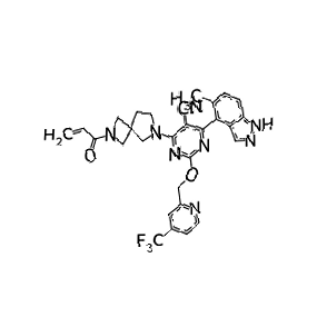 C=CC(=O)N1CC2(CCN(c3nc(OCc4cc(C(F)(F)F)ccn4)nc(-c4c(C)ccc5[nH]ncc45)c3C#N)C2)C1